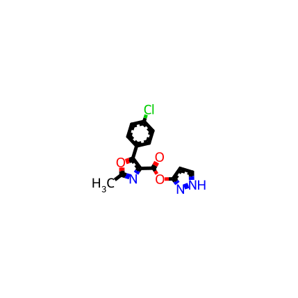 Cc1nc(C(=O)Oc2cc[nH]n2)c(-c2ccc(Cl)cc2)o1